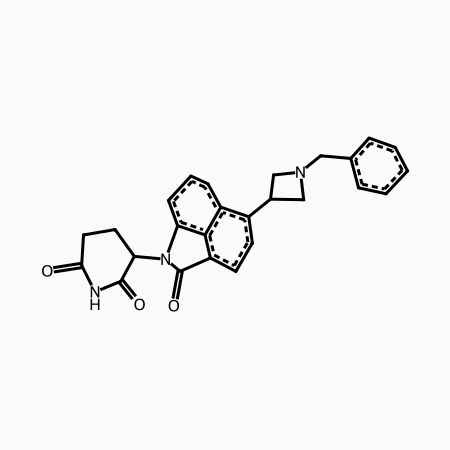 O=C1CCC(N2C(=O)c3ccc(C4CN(Cc5ccccc5)C4)c4cccc2c34)C(=O)N1